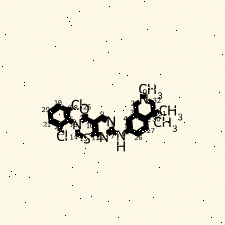 CN1Cc2cc(Nc3ncc4c(n3)SCN(c3c(Cl)cccc3Cl)C4=O)ccc2C(C)(C)C1